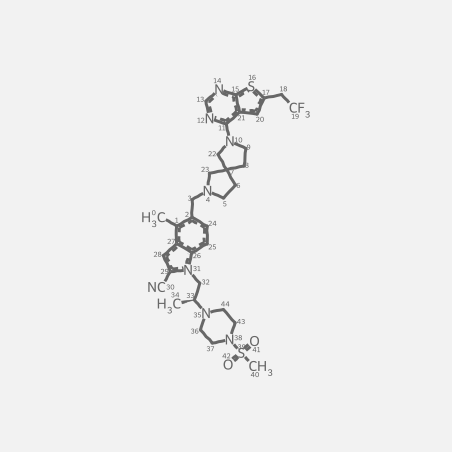 Cc1c(CN2CCC3(CCN(c4ncnc5sc(CC(F)(F)F)cc45)C3)C2)ccc2c1cc(C#N)n2C[C@H](C)N1CCN(S(C)(=O)=O)CC1